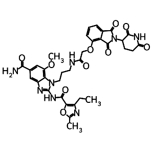 CCc1nc(C)oc1C(=O)Nc1nc2cc(C(N)=O)cc(OC)c2n1CCCNC(=O)COc1cccc2c1C(=O)N(C1CCC(=O)NC1=O)C2=O